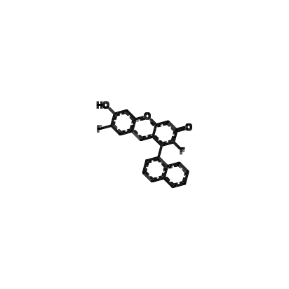 O=c1cc2oc3cc(O)c(F)cc3cc-2c(-c2cccc3ccccc23)c1F